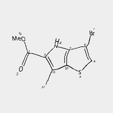 COC(=O)c1[nH]c2c(Br)csc2c1I